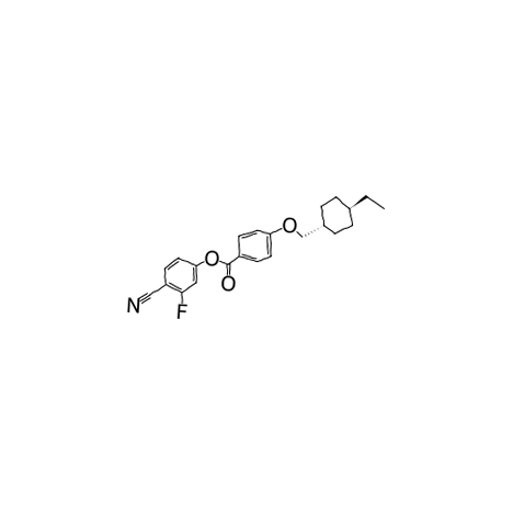 CC[C@H]1CC[C@H](COc2ccc(C(=O)Oc3ccc(C#N)c(F)c3)cc2)CC1